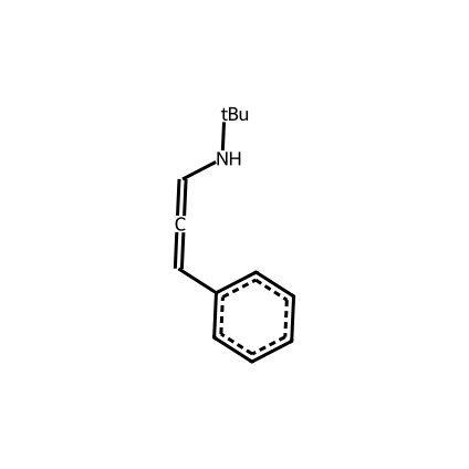 CC(C)(C)NC=C=Cc1ccccc1